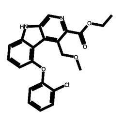 CCOC(=O)c1ncc2[nH]c3cccc(Oc4ccccc4Cl)c3c2c1COC